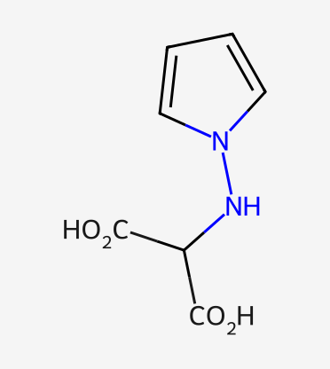 O=C(O)C(Nn1cccc1)C(=O)O